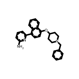 Nc1cccc(-c2ccc(OC3CCN(Cc4ccccc4)CC3)c3ccccc23)n1